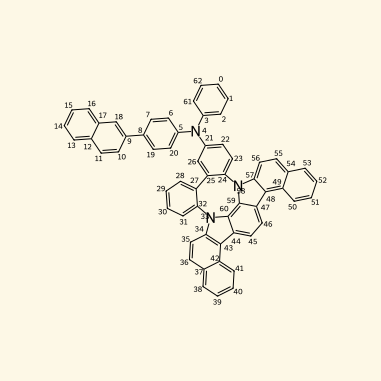 c1ccc(N(c2ccc(-c3ccc4ccccc4c3)cc2)c2ccc3c(c2)c2ccccc2n2c4ccc5ccccc5c4c4ccc5c6c7ccccc7ccc6n3c5c42)cc1